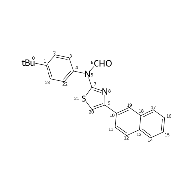 CC(C)(C)c1ccc(N(C=O)c2nc(-c3ccc4ccccc4c3)cs2)cc1